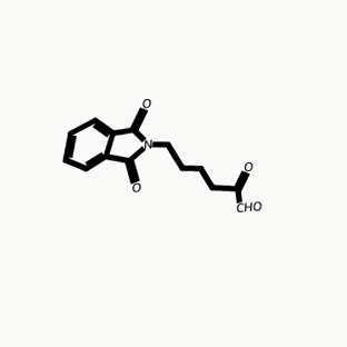 O=CC(=O)CCCCN1C(=O)c2ccccc2C1=O